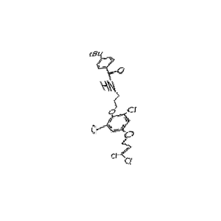 CC(C)(C)c1ccc(C(=O)NCCCOc2c(Cl)cc(OCC=C(Cl)Cl)cc2Cl)cc1